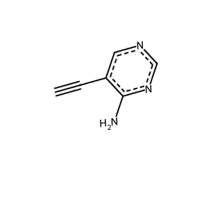 C#Cc1cncnc1N